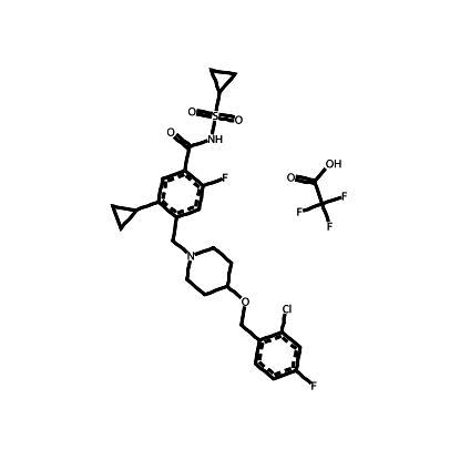 O=C(NS(=O)(=O)C1CC1)c1cc(C2CC2)c(CN2CCC(OCc3ccc(F)cc3Cl)CC2)cc1F.O=C(O)C(F)(F)F